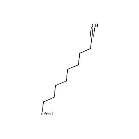 C#CCCCCCCCCCCCCC